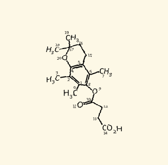 Cc1c(C)c2c(c(C)c1OC(=O)CCC(=O)O)CCC(C)(C)O2